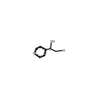 OC(CCl)c1ccncc1